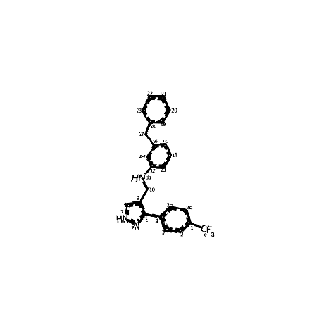 FC(F)(F)c1ccc(-c2n[nH]cc2CNc2cccc(Cc3ccccc3)c2)cc1